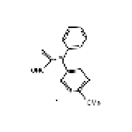 C=C(C=O)[C@H](c1ccccc1)c1ccc(OC)cc1